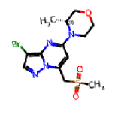 C[C@@H]1COCCN1c1cc(CS(C)(=O)=O)n2ncc(Br)c2n1